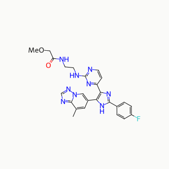 COCC(=O)NCCNc1nccc(-c2nc(-c3ccc(F)cc3)[nH]c2-c2cc(C)c3ncnn3c2)n1